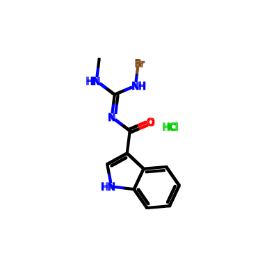 CNC(=NC(=O)c1c[nH]c2ccccc12)NBr.Cl